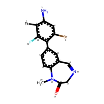 CCc1c(N)cc(Br)c(-c2ccc3c(c2)C=NCC(=O)N3C)c1F